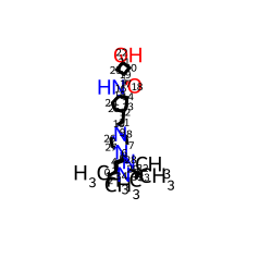 CC(C)c1cc(N2CCN(CCC3CCC(NC(=O)[C@H]4C[C@H](O)C4)CC3)CC2)nc(C(C)(C)C)n1